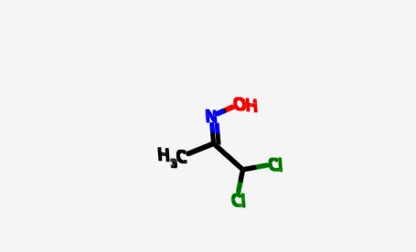 CC(=NO)C(Cl)Cl